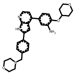 Nc1cc(-c2ccnc3[nH]c(-c4ccc(CN5CCOCC5)cc4)cc23)ccc1OC1CCOCC1